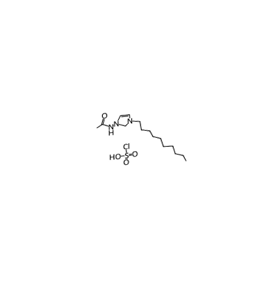 CCCCCCCCCCN1C=CN(NC(C)=O)C1.O=S(=O)(O)Cl